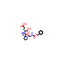 CC[C@@]1(C(=O)N[C@@H](CCC(=O)O)C(=O)O)CCCN1C(=O)CNC(=O)OCc1ccccc1